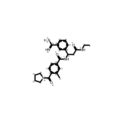 CCNC(=O)CC(NC(=O)c1ccc(C(=O)N2CCCC2)c(C)c1)c1cccc(C(=N)N)c1